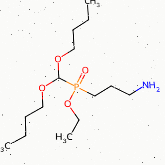 CCCCOC(OCCCC)P(=O)(CCCN)OCC